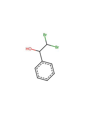 OC(c1ccccc1)C(Br)Br